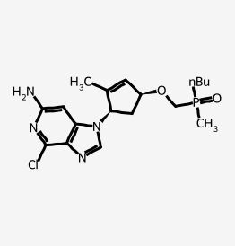 CCCCP(C)(=O)CO[C@@H]1C=C(C)[C@H](n2cnc3c(Cl)nc(N)cc32)C1